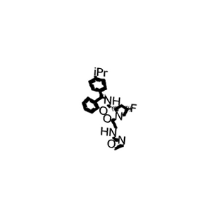 CC(C)c1ccc([C@@H](NC(=O)[C@@H]2C[C@@H](F)CN2C(=O)CNc2ncco2)c2ccccc2)cc1